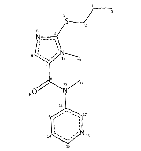 CCCSc1ncc(C(=O)N(C)c2cccnc2)n1C